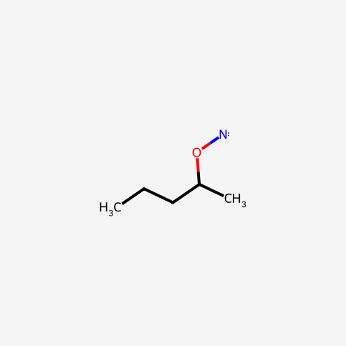 CCCC(C)O[N]